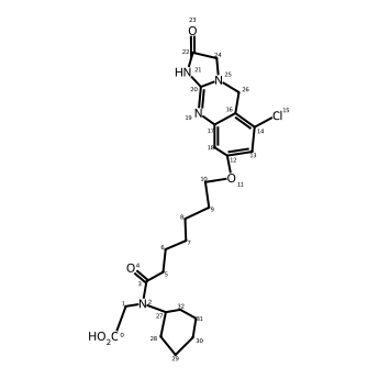 O=C(O)CN(C(=O)CCCCCCOc1cc(Cl)c2c(c1)N=C1NC(=O)CN1C2)C1CCCCC1